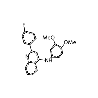 COc1ccc(Nc2cc(-c3ccc(F)cc3)nc3ccccc23)cc1OC